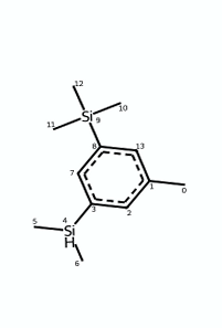 Cc1cc([SiH](C)C)cc([Si](C)(C)C)c1